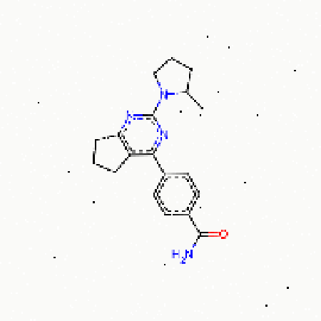 CC1CCCN1c1nc2c(c(-c3ccc(C(N)=O)cc3)n1)CCC2